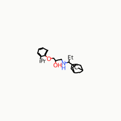 CCC(NCC(O)COc1ccccc1C(C)C)C12CC3CC(CC1C3)C2